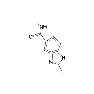 CNC(=O)c1ccc2c(c1)=NC(C)N=2